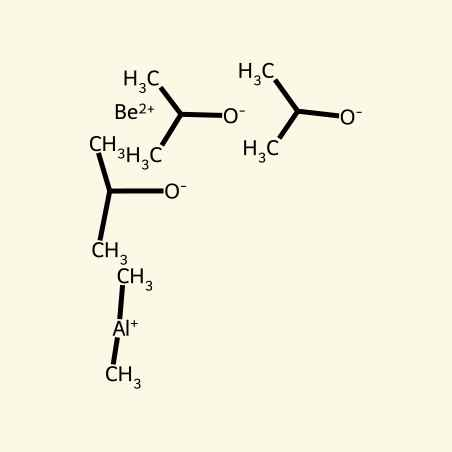 CC(C)[O-].CC(C)[O-].CC(C)[O-].[Be+2].[CH3][Al+][CH3]